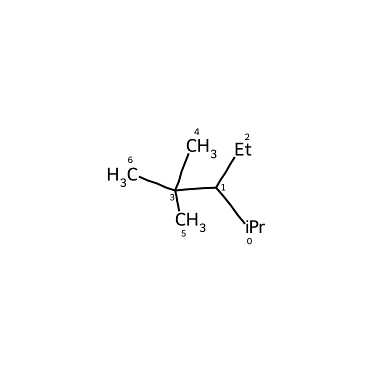 [CH2]C(C)C(CC)C(C)(C)C